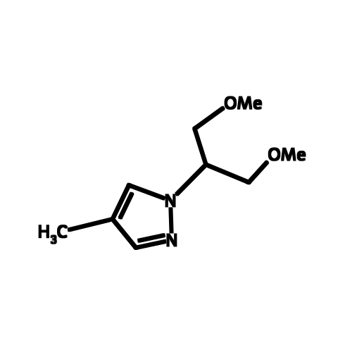 COCC(COC)n1cc(C)cn1